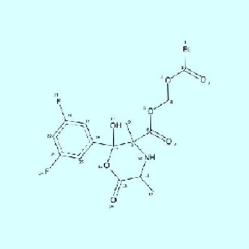 CCC(=O)OCOC(=O)C1(C)NC(C)C(=O)OC1(O)c1cc(F)cc(F)c1